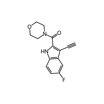 C#Cc1c(C(=O)N2CCOCC2)[nH]c2ccc(F)cc12